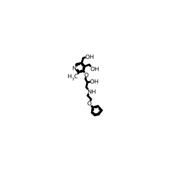 Cc1ncc(CO)c(CO)c1OCC(O)CNCCOc1ccccc1